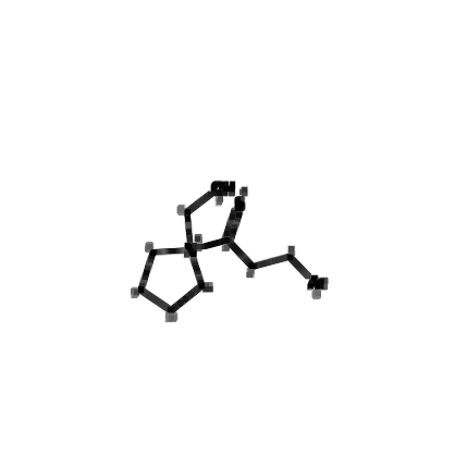 CC(=O)CCC(=S)[N+]1(CO)CCCC1